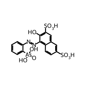 O=S(=O)(O)c1ccc2c(N=Nc3ccccc3[As](=O)(O)O)c(O)c(S(=O)(=O)O)cc2c1